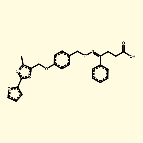 Cc1oc(-c2ccco2)nc1COc1ccc(CO/N=C(/CCC(=O)O)c2ccccc2)cc1